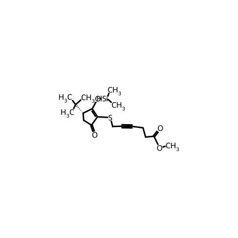 COC(=O)CCC#CCSC1=C(O[SiH](C)C)[C@@H](C(C)(C)C)CC1=O